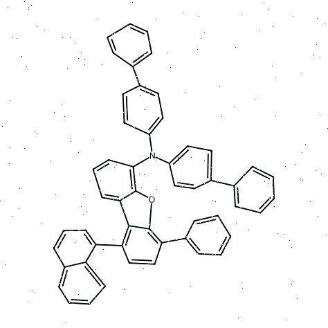 c1ccc(-c2ccc(N(c3ccc(-c4ccccc4)cc3)c3cccc4c3oc3c(-c5ccccc5)ccc(-c5cccc6ccccc56)c34)cc2)cc1